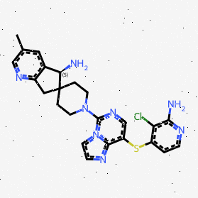 Cc1cnc2c(c1)[C@@H](N)C1(CCN(c3ncc(Sc4ccnc(N)c4Cl)c4nccn34)CC1)C2